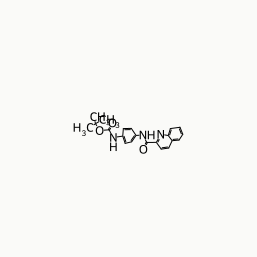 CC(C)(C)OC(=O)Nc1ccc(NC(=O)c2ccc3ccccc3n2)cc1